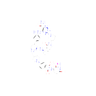 N=C(C1CCN(C2CCCN(c3nnc(C(N)=O)c(Nc4ccc(C5CCN(CC6CCN(c7ccc8c(c7)C(=O)N(C7CCC(=O)NC7=O)C8=O)CC6)CC5)cc4)n3)C2)C1=O)C(F)(F)F